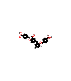 COC(=O)c1ccc(COc2ccc(Cc3cc(C)ccc3OCc3ccc(C(=O)OC)cc3)cc2C=O)cc1